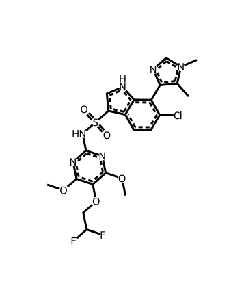 COc1nc(NS(=O)(=O)c2c[nH]c3c(-c4ncn(C)c4C)c(Cl)ccc23)nc(OC)c1OCC(F)F